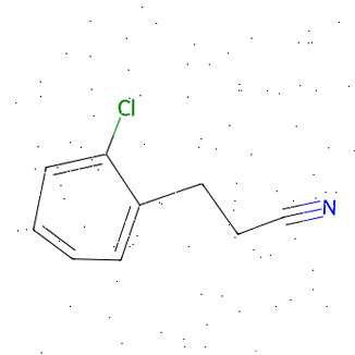 N#CCCc1ccccc1Cl